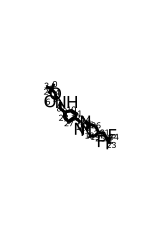 CC(C)(C)OC(=O)NCc1ccc(-c2nc3n(n2)CCC(CC(F)(F)F)C3)cc1